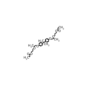 C=CC(=O)OCCCOC(C)COc1ccc(C(C)(C)c2ccc(OCC(C)OCCCOC(=O)C=C)cc2)cc1